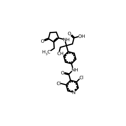 CCC1=C(NC(CC)(CC(=O)O)c2ccc(NC(=O)c3c(Cl)cncc3Cl)cc2)CCC1=O